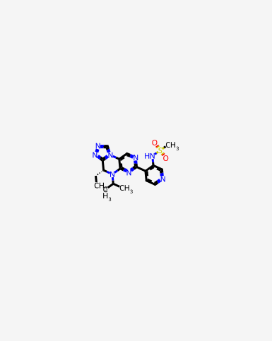 CC[C@@H]1c2nncn2-c2cnc(-c3ccncc3NS(C)(=O)=O)nc2N1C(C)C